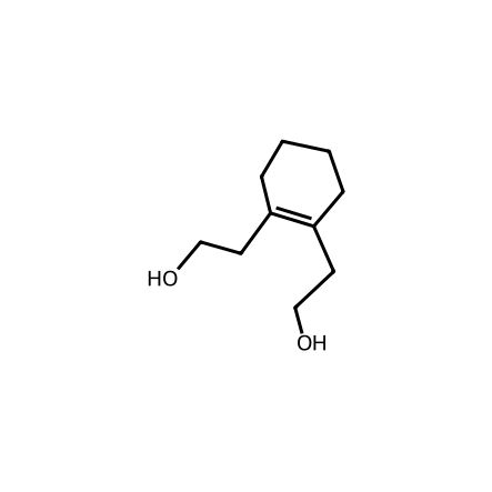 OCCC1=C(CCO)CCCC1